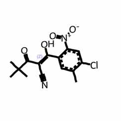 Cc1cc(/C(O)=C(\C#N)C(=O)C(C)(C)C)c([N+](=O)[O-])cc1Cl